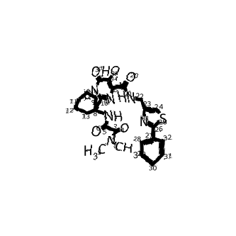 CN(C)C(=O)C(=O)NC12CCC(CC1)Cn1c2nc(C(=O)NCc2csc(-c3ccccc3)n2)c(O)c1=O